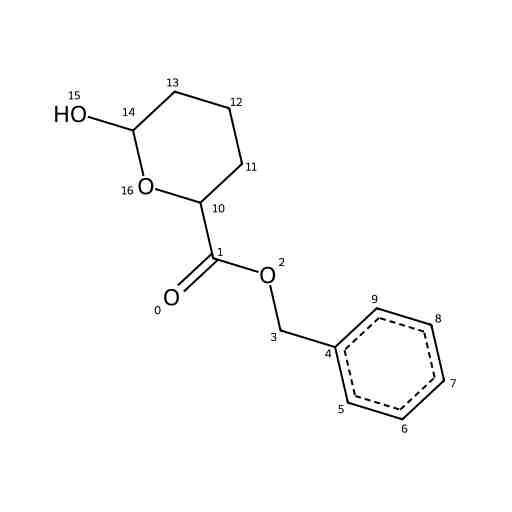 O=C(OCc1ccccc1)C1CCCC(O)O1